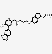 O=C(O)C[C@@H]1CCc2cc(OCCCNCc3ncc(C(F)(F)F)c(-c4ccc5c(c4)OCO5)n3)ccc21